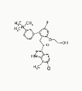 Cc1c(Cl)ccc2c(C(=O)Cc3c(OCCO)cc(F)cc3-c3cccc([N+](C)(C)C)c3)c[nH]c12